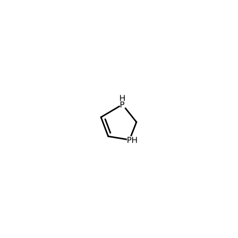 C1=CPCP1